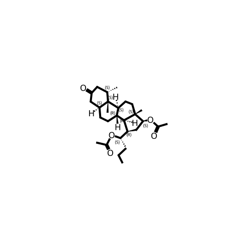 CCC[C@H](OC(C)=O)[C@@H]1C[C@H](OC(C)=O)[C@@]2(C)CC[C@H]3[C@@H](CC[C@H]4CC(=O)C[C@H](C)[C@@]43C)[C@H]12